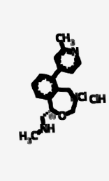 CNC[C@H]1OCCCc2c(-c3ccnc(C)c3)cccc21.Cl.Cl